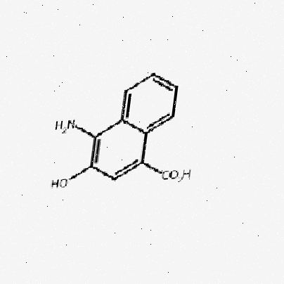 Nc1c(O)cc(C(=O)O)c2ccccc12